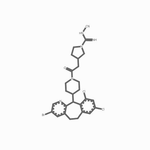 N#CNC(=N)N1CCC(CC(=O)N2CCC(C3c4ncc(Br)cc4CCc4cc(Cl)cc(Cl)c43)CC2)C1